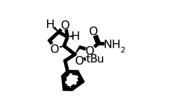 CC(C)(C)O[C@](COC(N)=O)(Cc1ccccc1)[C@@H]1OC[C@@H]2O[C@H]21